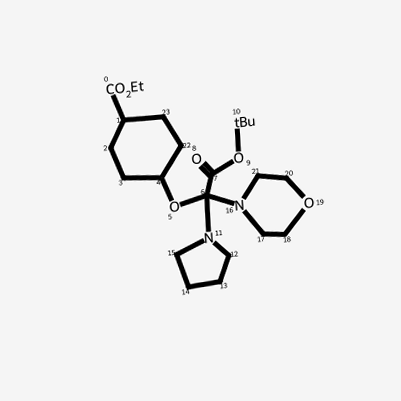 CCOC(=O)C1CCC(OC(C(=O)OC(C)(C)C)(N2CCCC2)N2CCOCC2)CC1